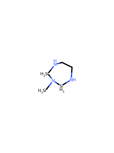 [SiH3]N1[SiH2]NCCN[SiH2]1